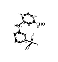 CS(=O)(=O)c1cccc(Nc2cc(C=O)ncn2)c1